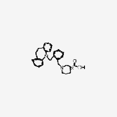 O=C(O)[C@@H]1CCCN(Cc2ccccc2CN2c3ccccc3CCc3ccccc32)C1